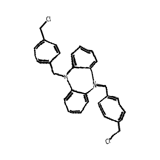 ClCc1ccc(CN2c3ccccc3N(Cc3ccc(CCl)cc3)c3ccccc32)cc1